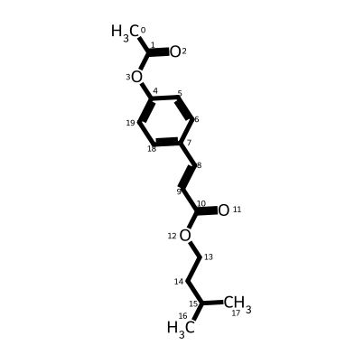 CC(=O)Oc1ccc(/C=C/C(=O)OCCC(C)C)cc1